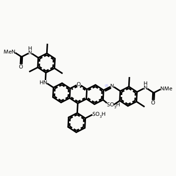 CNC(=O)Nc1c(C)cc(C)c(/N=c2/cc3oc4cc(Nc5c(C)cc(C)c(NC(=O)NC)c5C)ccc4c(-c4ccccc4S(=O)(=O)O)c-3cc2S(=O)(=O)O)c1C